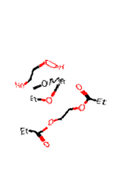 CCC(=O)OCCOC(=O)CC.CCOCC.COC.OCCO